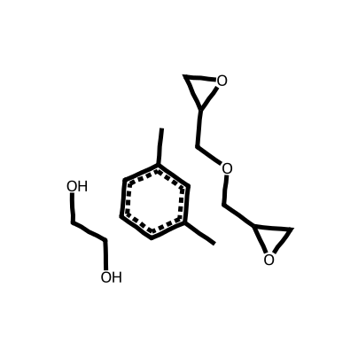 C(OCC1CO1)C1CO1.Cc1cccc(C)c1.OCCO